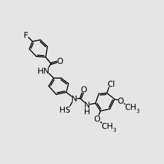 COc1cc(OC)c(NC(=O)N(S)c2ccc(NC(=O)c3ccc(F)cc3)cc2)cc1Cl